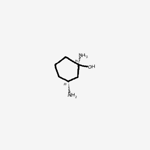 N[C@@H]1CCC[C@@](N)(O)C1